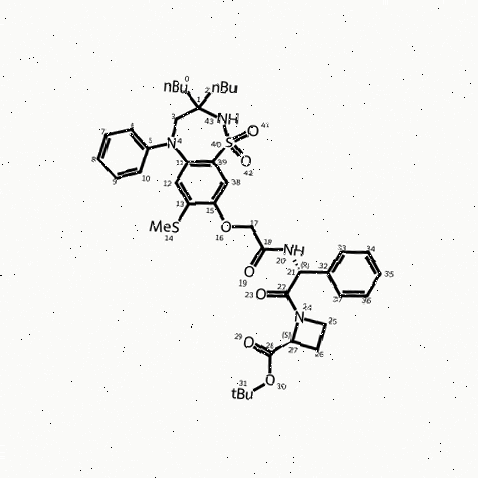 CCCCC1(CCCC)CN(c2ccccc2)c2cc(SC)c(OCC(=O)N[C@@H](C(=O)N3CC[C@H]3C(=O)OC(C)(C)C)c3ccccc3)cc2S(=O)(=O)N1